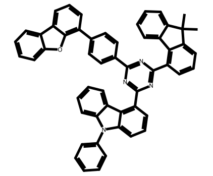 CC1(C)c2ccccc2-c2c(-c3nc(-c4ccc(-c5cccc6c5oc5ccccc56)cc4)nc(-c4cccc5c4c4ccccc4n5-c4ccccc4)n3)cccc21